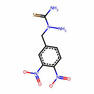 NC(=S)N(N)Cc1ccc([N+](=O)[O-])c([N+](=O)[O-])c1